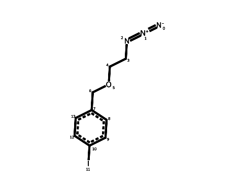 [N-]=[N+]=NCCOCc1ccc(I)cc1